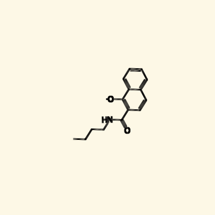 CCCCNC(=O)c1ccc2ccccc2c1[O]